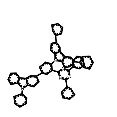 c1ccc(-c2ccc3c(c2)c2cc(-c4ccccc4)ccc2n3-c2ccc(-c3ccc4c(c3)c3ccccc3n4-c3ccccc3)cc2-c2nc(-c3ccccc3)nc(-c3ccccc3)n2)cc1